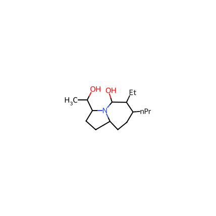 CCCC1CCC2CCC(C(C)O)N2C(O)C1CC